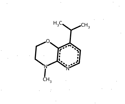 CC(C)c1ccnc2c1OCCN2C